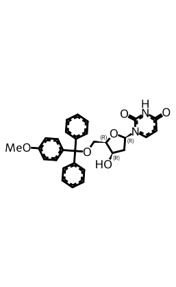 COc1ccc(C(OC[C@H]2O[C@@H](n3ccc(=O)[nH]c3=O)C[C@H]2O)(c2ccccc2)c2ccccc2)cc1